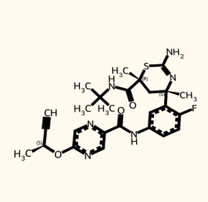 C#C[C@H](C)Oc1cnc(C(=O)Nc2ccc(F)c([C@]3(C)C[C@](C)(C(=O)NC(C)(C)C)SC(N)=N3)c2)cn1